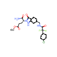 CC(C)(C)OC(=O)CC[C@@H](C(N)=O)n1[nH]c2cc(CNC(=O)C(F)(F)c3ccc(Cl)cc3)ccc2c1=O